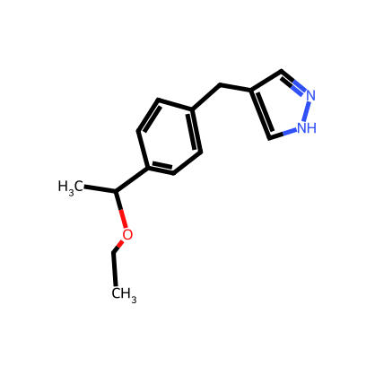 CCOC(C)c1ccc(Cc2cn[nH]c2)cc1